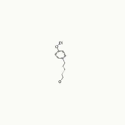 CCOc1ccc(CCCCC[O])cc1